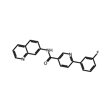 O=C(Nc1ccc2cccnc2c1)c1ccc(-c2cccc(F)c2)nc1